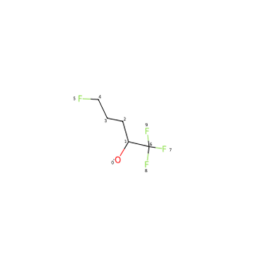 [O]C(CCCF)C(F)(F)F